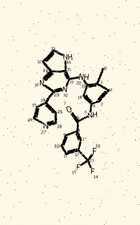 Cc1ccc(NC(=O)c2cccc(C(F)(F)F)c2)cc1Nc1nc(-c2ccncc2)nc2cc[nH]c12